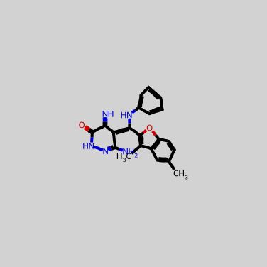 Cc1ccc2oc(/C(Nc3ccccc3)=C3/C(=N)C(=O)NN=C3N)c(C)c2c1